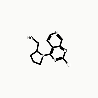 OCC1CCCN1c1nc(Cl)nc2cnccc12